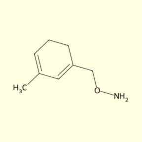 CC1=CCCC(CON)=C1